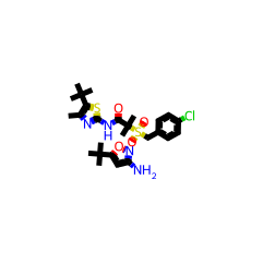 CC(C)(C)c1cc(N)no1.Cc1nc(NC(=O)C(C)(C)S(=O)(=O)Cc2ccc(Cl)cc2)sc1C(C)(C)C